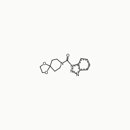 O=C(N1CCC2(CC1)OCCO2)n1nnc2ccccc21